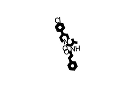 CC(C)C(NC(=O)C=Cc1ccccc1)C(=O)N1CCC(c2ccc(Cl)cc2)CC1